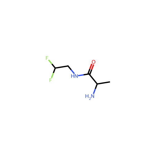 CC(N)C(=O)NCC(F)F